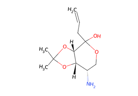 C=CCC1(O)OC[C@H](N)[C@@H]2OC(C)(C)O[C@@H]21